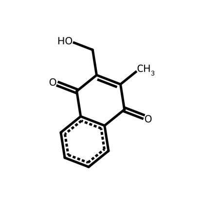 CC1=C(CO)C(=O)c2ccccc2C1=O